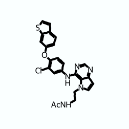 CC(=O)NCCn1ccc2ncnc(Nc3ccc(Oc4ccc5ccsc5c4)c(Cl)c3)c21